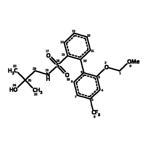 COCOc1cc(C(F)(F)F)ccc1-c1ccccc1S(=O)(=O)NCC(C)(C)O